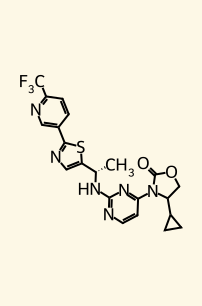 C[C@H](Nc1nccc(N2C(=O)OCC2C2CC2)n1)c1cnc(-c2ccc(C(F)(F)F)nc2)s1